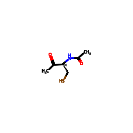 CC(=O)N[C@H](CS)C(C)=O